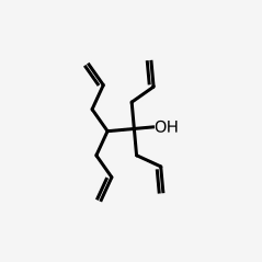 C=CCC(CC=C)C(O)(CC=C)CC=C